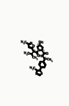 Cc1cc([C@@H](C(=O)N2C[C@@H](O)C[C@H]2C(=O)N[C@@H](C)c2ccc(-c3scnc3C)cc2)C(C)C)on1